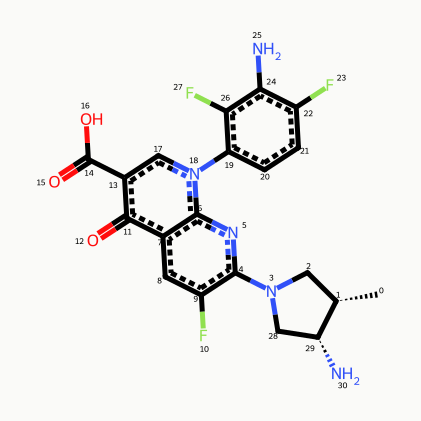 C[C@H]1CN(c2nc3c(cc2F)c(=O)c(C(=O)O)cn3-c2ccc(F)c(N)c2F)C[C@H]1N